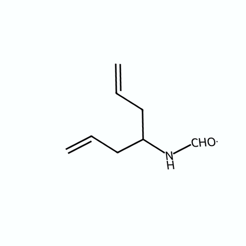 C=CCC(CC=C)N[C]=O